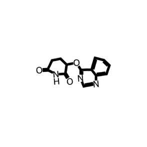 O=C1CCC(Oc2ncnc3ccccc23)C(=O)N1